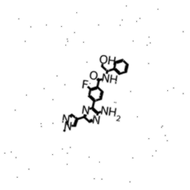 Cn1cc(-c2cnc(N)c(-c3ccc(C(=O)NC(CO)c4ccccc4)c(F)c3)n2)cn1